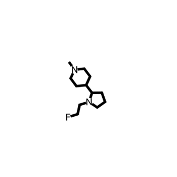 CN1CCC(C2CCCN2CCF)CC1